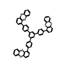 c1ccc2c(c1)Sc1cccc(-c3ccc(-c4cc(-c5ccc(-c6cccc7c6Sc6ccccc6S7)cc5)cc(-c5ccc(-c6cccc7c6Sc6ccccc6S7)cc5)c4)cc3)c1S2